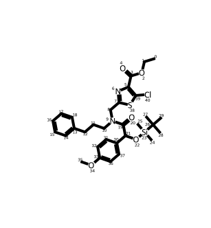 CCOC(=O)c1nc(CN(CCCc2ccccc2)C(=O)C(O[Si](C)(C)C(C)(C)C)c2ccc(OC)cc2)sc1Cl